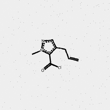 C=CCc1cnn(C)c1C(=O)Cl